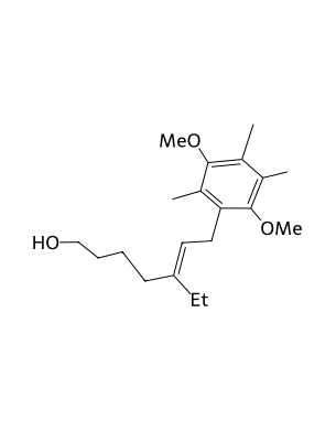 CC/C(=C\Cc1c(C)c(OC)c(C)c(C)c1OC)CCCCO